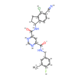 Cc1cc(CNC(=O)c2cc(C(=O)NC3CCc4c3ccc(C#N)c4Cl)ncn2)ccc1F